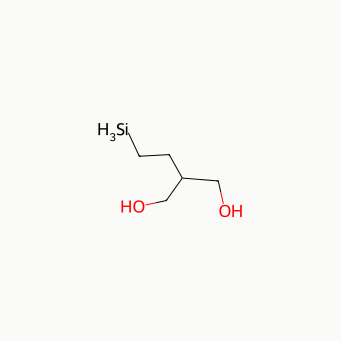 OCC(CO)CC[SiH3]